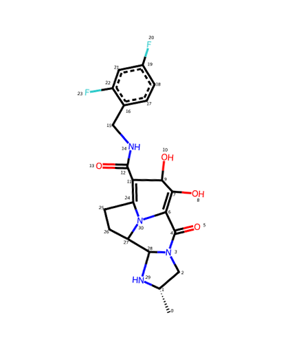 C[C@H]1CN2C(=O)C3=C(O)C(O)C(C(=O)NCc4ccc(F)cc4F)=C4CCC(C2N1)N43